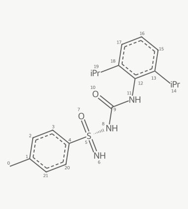 Cc1ccc([S@](=N)(=O)NC(=O)Nc2c(C(C)C)cccc2C(C)C)cc1